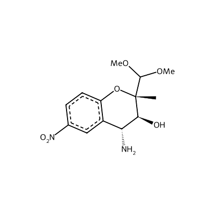 COC(OC)[C@@]1(C)Oc2ccc([N+](=O)[O-])cc2[C@@H](N)[C@@H]1O